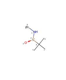 CC(C)N[S@+]([O-])C(C)(C)C